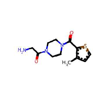 Cc1ccsc1C(=O)N1CCN(C(=O)CN)CC1